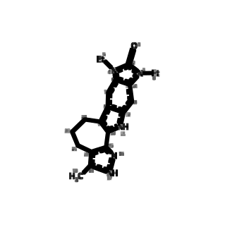 CCn1c(=O)n(CC)c2cc3c4c([nH]c3cc21)-c1n[nH]c(C)c1CCC4